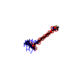 CCC(C)SC1CC(=O)N(CCOCCOCCOCCOCCOCCOCCC(=O)NCCCOc2cc(C(N)=O)cc3nc(NC(=O)c4cc(C)nn4CC)[nH]c23)C1=O